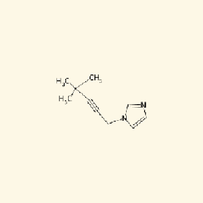 CC(C)(C)C#CCn1ccnc1